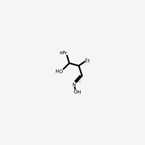 CCCC(O)C(/C=N/O)CC